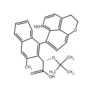 Cc1cc2ccccc2c(-c2ccc3c4c(cc[n+](O)c24)CCO3)c1[C@H](OC(C)(C)C)C(=O)O